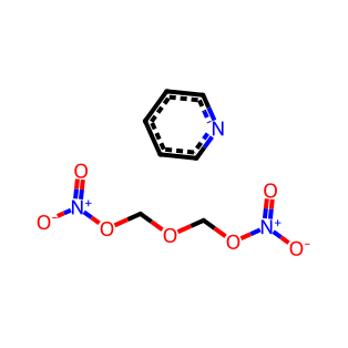 O=[N+]([O-])OCOCO[N+](=O)[O-].c1ccncc1